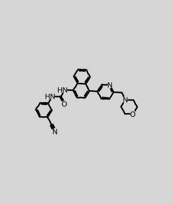 N#Cc1cccc(NC(=O)Nc2ccc(-c3ccc(CN4CCOCC4)nc3)c3ccccc23)c1